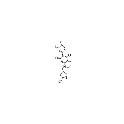 O=c1nc2n(Cc3cnc(Cl)s3)cccc-2c(=O)n1-c1ccc(F)c(Cl)c1